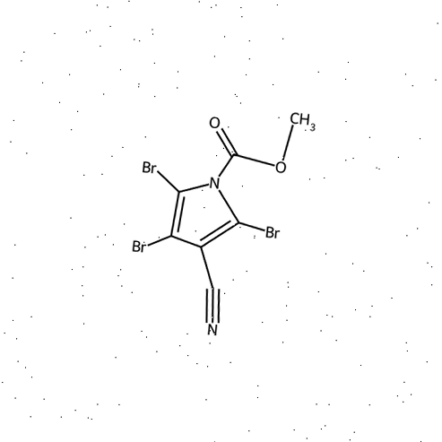 COC(=O)n1c(Br)c(Br)c(C#N)c1Br